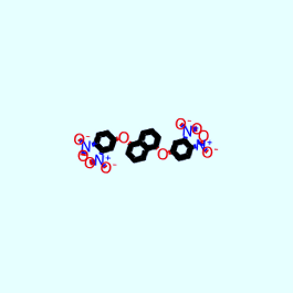 O=[N+]([O-])c1ccc(Oc2cccc3c(Oc4ccc([N+](=O)[O-])c([N+](=O)[O-])c4)cccc23)cc1[N+](=O)[O-]